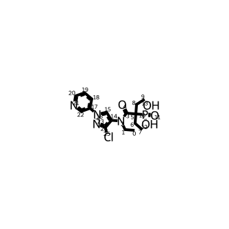 CCN(C(=O)C(CC)(CC)P(=O)(O)O)c1cn(-c2cccnc2)nc1Cl